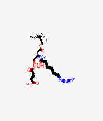 CC(C)COC(=O)C[C@H](COC(=O)CCC(=O)O)NC(O)CCCCCN=[N+]=[N-]